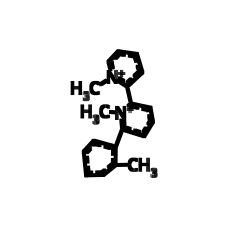 Cc1ccccc1-c1cccc(-c2cccc[n+]2C)[n+]1C